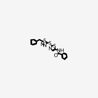 O=C(Nc1cnc(Sc2nnc(Cc3ccccc3)s2)s1)c1ccccc1